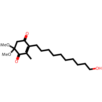 COC1(OC)CC(=O)C(CCCCCCCCCCO)=C(C)C1=O